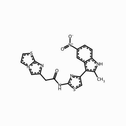 Cc1[nH]c2ccc([N+](=O)[O-])cc2c1-c1csc(NC(=O)Cc2cn3ccsc3n2)n1